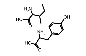 CCC(C)C(N)C(=O)O.NC(Cc1ccc(O)cc1)C(=O)O